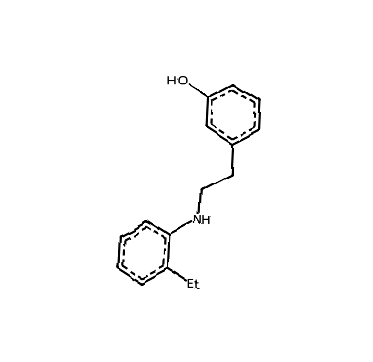 CCc1ccccc1NCCc1cccc(O)c1